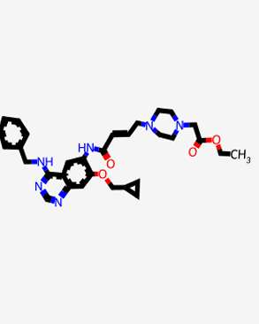 CCOC(=O)CN1CCN(C/C=C/C(=O)Nc2cc3c(NCc4ccccc4)ncnc3cc2OCC2CC2)CC1